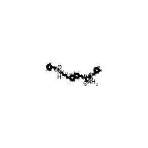 NC(=O)[C@H](CCc1ccc2cc(CCCCNC(=O)OCc3ccccc3)ccc2c1)NC(=O)OCc1ccccc1